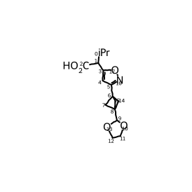 CC(C)C(C(=O)O)c1cc(C23CC(C4OCCO4)(C2)C3)no1